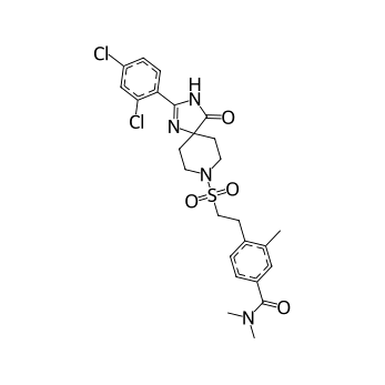 Cc1cc(C(=O)N(C)C)ccc1CCS(=O)(=O)N1CCC2(CC1)N=C(c1ccc(Cl)cc1Cl)NC2=O